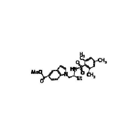 CCC(Cn1ccc2cc(C(=O)OC)ccc21)NS(=O)(=O)c1c(C)cc(C)cc1C